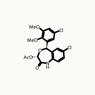 COc1cc(Cl)cc([C@@H]2O[C@@H](OC(C)=O)C(=O)Nc3ccc(Cl)cc32)c1OC